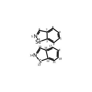 c1ccc2[se]ncc2c1.c1ccc2sncc2c1